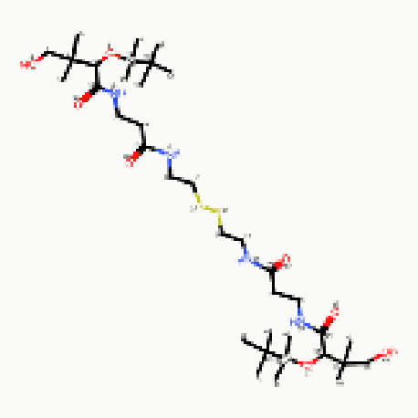 CC(C)(CO)C(O[Si](C)(C)C(C)(C)C)C(=O)NCCC(=O)NCCSSCCNC(=O)CCNC(=O)C(O[Si](C)(C)C(C)(C)C)C(C)(C)CO